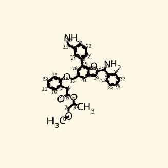 COCC(C)OC(=O)Cc1ccccc1OCc1cc(-c2cccc(CN)c2)c2oc(C(N)c3ccccc3)cc2c1